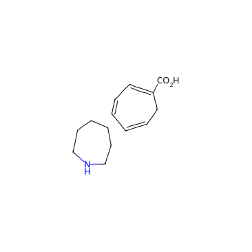 C1CCCNCC1.O=C(O)C1=CC=CC=CC1